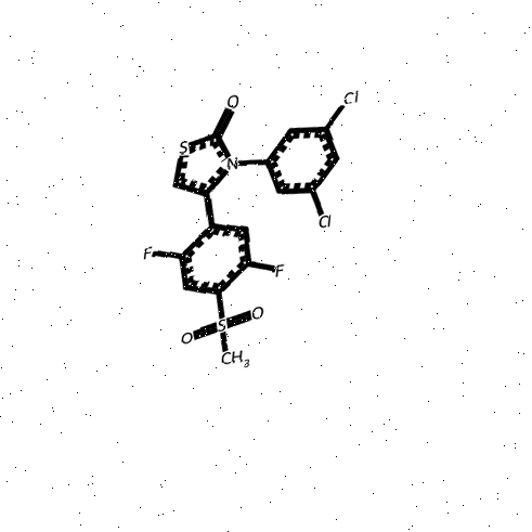 CS(=O)(=O)c1cc(F)c(-c2csc(=O)n2-c2cc(Cl)cc(Cl)c2)cc1F